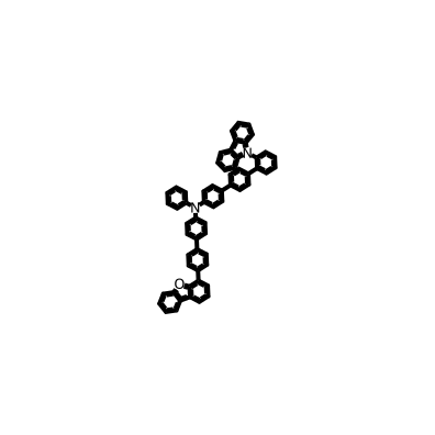 c1ccc(N(c2ccc(-c3ccc(-c4ccccc4-n4c5ccccc5c5ccccc54)cc3)cc2)c2ccc(-c3ccc(-c4cccc5c4oc4ccccc45)cc3)cc2)cc1